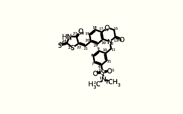 CN(C)S(=O)(=O)c1cccc(CN2C(=O)COc3ccc(C=C4SC(=S)NC4=O)cc32)c1